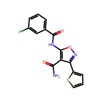 NC(=O)c1c(-c2cccs2)noc1NC(=O)c1cccc(F)c1